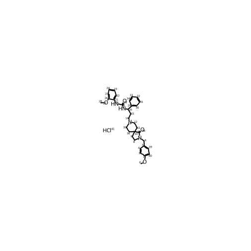 COc1ccc(CN2CCC3(CCN(CCC(NC(=O)Nc4ccccc4OC)c4ccccc4)CC3)C2=O)cc1.Cl